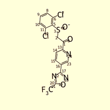 O=C(C[S+]([O-])c1c(Cl)cccc1Cl)c1ccc(-c2noc(C(F)(F)F)n2)cn1